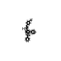 FCc1ccc(C=NNc2cc(N3CCOCC3)c3nc(-c4ccncc4)cn3n2)cc1